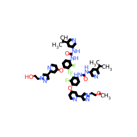 CC(C)c1cncc(NC(=O)Nc2ccc(Oc3ccnc(-c4cnn(CCO)c4)c3)c(F)c2F)c1.COCCn1cc(-c2cc(Oc3ccc(NC(=O)Nc4cncc(C(C)C)c4)c(F)c3F)ccn2)cn1